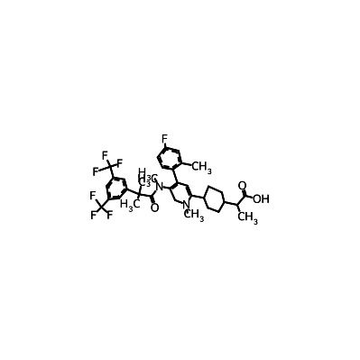 Cc1cc(F)ccc1C1=C(N(C)C(=O)C(C)(C)c2cc(C(F)(F)F)cc(C(F)(F)F)c2)CN(C)C(C2CCC(C(C)C(=O)O)CC2)=C1